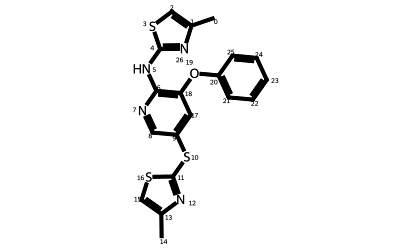 Cc1csc(Nc2ncc(Sc3nc(C)cs3)cc2Oc2ccccc2)n1